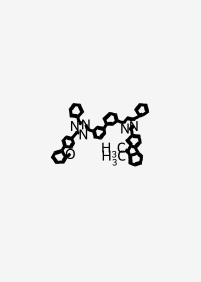 CC1(C)c2ccccc2-c2ccc(-c3nc(-c4ccccc4)cc(-c4cccc(-c5cccc(-c6nc(-c7ccccc7)nc(-c7ccc8c(c7)oc7ccccc78)n6)c5)c4)n3)cc21